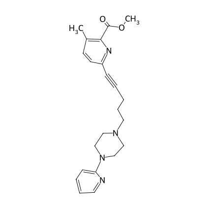 COC(=O)c1nc(C#CCCCN2CCN(c3ccccn3)CC2)ccc1C